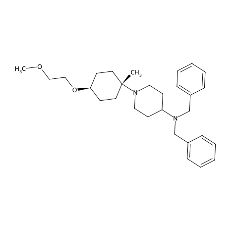 COCCO[C@H]1CC[C@](C)(N2CCC(N(Cc3ccccc3)Cc3ccccc3)CC2)CC1